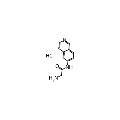 Cl.NCC(=O)Nc1ccc2cnccc2c1